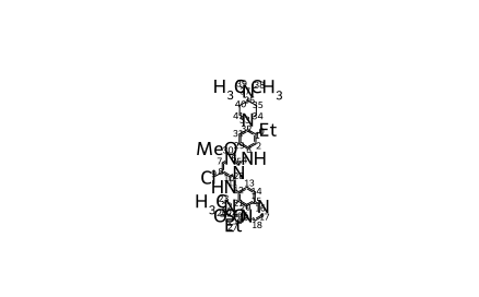 CCc1cc(Nc2ncc(Cl)c(Nc3ccc4nccnc4c3N(C)S(=O)(=O)CC)n2)c(OC)cc1N1CCC(N(C)C)CC1